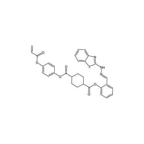 C=CC(=O)Oc1ccc(OC(=O)C2CCC(C(=O)Oc3ccccc3/C=N/Nc3nc4ccccc4s3)CC2)cc1